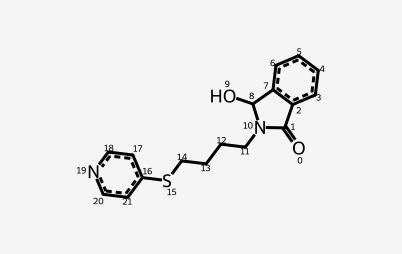 O=C1c2ccccc2C(O)N1CCCCSc1ccncc1